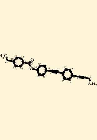 CCC#Cc1ccc(C#Cc2ccc(OC(=O)c3ccc(CC)cc3)cc2)cc1